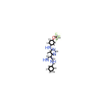 Cc1c(Nc2ccc(OC(F)(F)F)cc2)ncnc1/C(C=N)=C/NCc1ccccc1